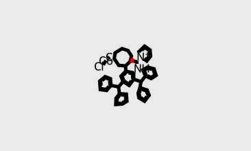 CC(Nc1c(C2CCCCCCC2)cc(C(c2ccccc2)c2ccccc2)cc1C(c1ccccc1)c1ccccc1)[n+]1ccccc1.[Cl][Co][Cl]